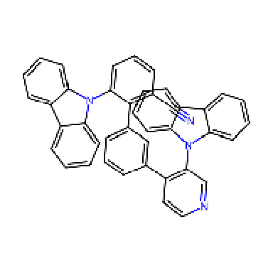 N#Cc1cccc(-n2c3ccccc3c3ccccc32)c1-c1cccc(-c2ccncc2-n2c3ccccc3c3ccccc32)c1